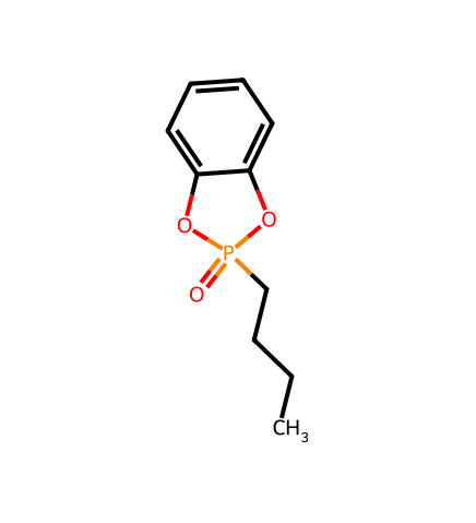 CCCCP1(=O)Oc2ccccc2O1